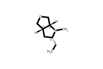 CC[C@@H]1C[C@@H]2COC[C@@H]2N1C